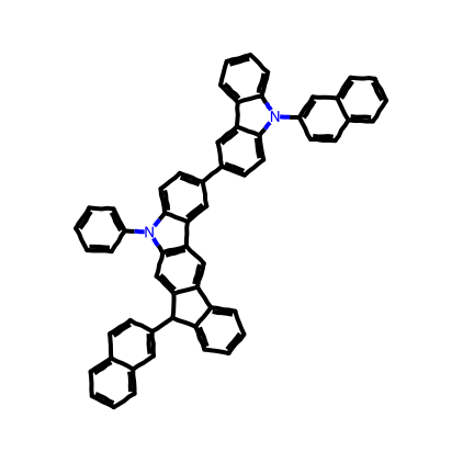 c1ccc(-n2c3ccc(-c4ccc5c(c4)c4ccccc4n5-c4ccc5ccccc5c4)cc3c3cc4c(cc32)C(c2ccc3ccccc3c2)c2ccccc2-4)cc1